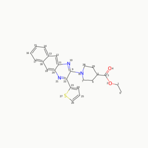 CCOC(=O)C1CCN(c2nc3cc4ccccc4cc3nc2-c2cccs2)CC1